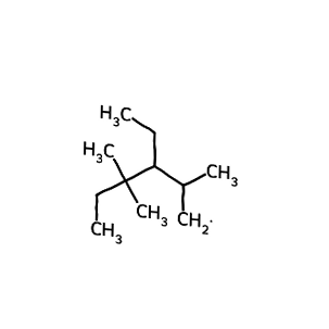 [CH2]C(C)C(CC)C(C)(C)CC